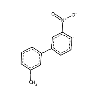 Cc1cccc(-c2cc[c]c([N+](=O)[O-])c2)c1